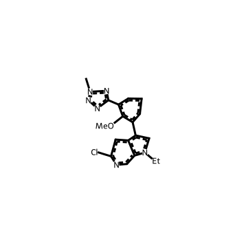 CCn1cc(-c2cccc(-c3nnn(C)n3)c2OC)c2cc(Cl)ncc21